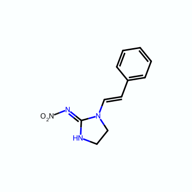 O=[N+]([O-])N=C1NCCN1C=Cc1ccccc1